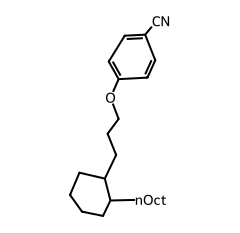 CCCCCCCCC1CCCCC1CCCOc1ccc(C#N)cc1